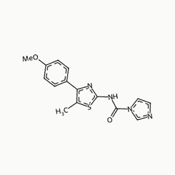 COc1ccc(-c2nc(NC(=O)n3ccnc3)sc2C)cc1